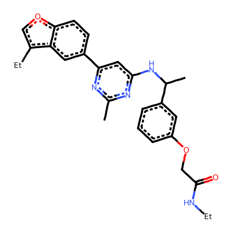 CCNC(=O)COc1cccc(C(C)Nc2cc(-c3ccc4occ(CC)c4c3)nc(C)n2)c1